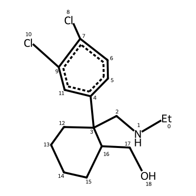 CCNCC1(c2ccc(Cl)c(Cl)c2)CCCCC1CO